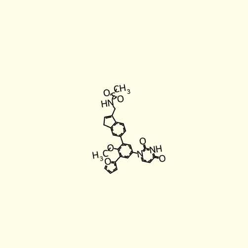 COc1c(-c2ccc3c(c2)CC=C3CNS(C)(=O)=O)cc(-n2ccc(=O)[nH]c2=O)cc1-c1ccco1